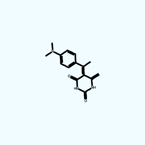 C=c1[nH]c(=O)[nH]c(=O)/c1=C(/C)c1ccc(N(C)C)cc1